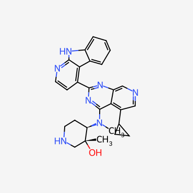 CN(c1nc(-c2ccnc3[nH]c4ccccc4c23)nc2cncc(C3CC3)c12)[C@@H]1CCNC[C@@]1(C)O